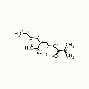 C=C(C)C(=O)OCCN(CCCC)C(C)C